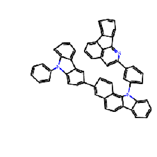 c1ccc(-n2c3ccccc3c3cc(-c4ccc5c(ccc6c7ccccc7n(-c7cccc(-c8cc9cccc%10c9c(n8)-c8ccccc8-%10)c7)c56)c4)ccc32)cc1